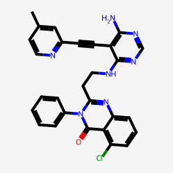 Cc1ccnc(C#Cc2c(N)ncnc2NCCc2nc3cccc(Cl)c3c(=O)n2-c2ccccc2)c1